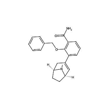 CN1[C@H]2CC[C@@H]1C=C(c1cccc(C(N)=O)c1OCc1ccccc1)C2